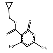 Cc1cc(O)c(C(=O)OCC2CC2)c(=O)o1